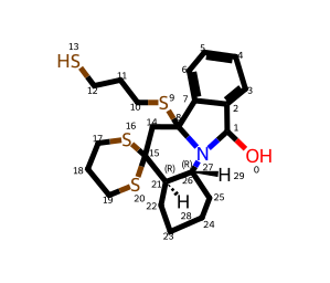 OC1c2ccccc2C2(SCCCS)CC3(SCCCS3)[C@@H]3CCCC[C@H]3N12